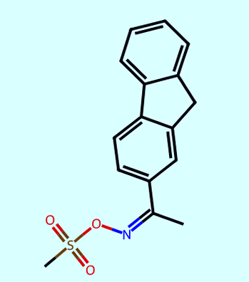 C/C(=N/OS(C)(=O)=O)c1ccc2c(c1)Cc1ccccc1-2